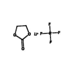 F[B-](F)(F)F.O=C1OCCO1.[Li+]